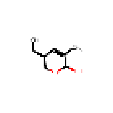 CCC1C=C(C)C(O)OC1